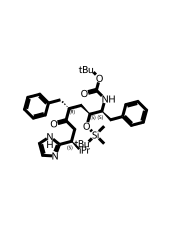 CC(C)[C@H](CC(=O)[C@H](Cc1ccccc1)C[C@H](O[Si](C)(C)C(C)(C)C)[C@H](Cc1ccccc1)NC(=O)OC(C)(C)C)c1ncc[nH]1